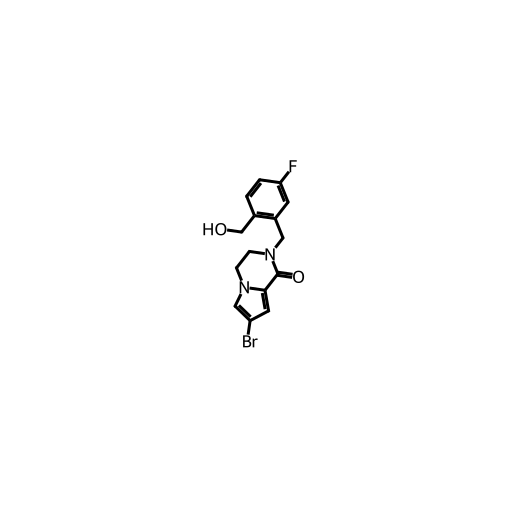 O=C1c2cc(Br)cn2CCN1Cc1cc(F)ccc1CO